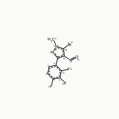 Cn1nc(-c2ccc(F)c(F)c2F)c(C=O)c1Br